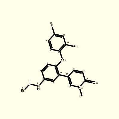 CCSNc1ccc(Oc2ccc(F)cc2F)c(-c2ccc(=O)n(C)c2)c1